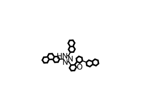 c1ccc2cc(-c3cccc4c3oc3cccc(C5=NC(c6ccc7ccccc7c6)NC(c6ccc7c(ccc8ccccc87)c6)=N5)c34)ccc2c1